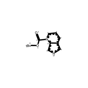 CC(C)(C)OC(=O)n1cccc2cncc1-2